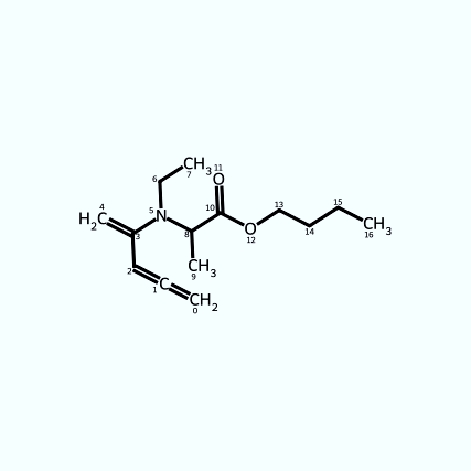 C=C=CC(=C)N(CC)C(C)C(=O)OCCCC